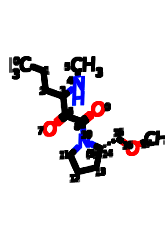 CCCC(NC)C(=O)C(=O)N1CCC[C@H]1COC